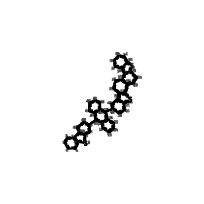 c1ccc2c(c1)sc1cc(-c3c4ccccc4c(-c4ccc5sc6c(ccc7c6ccc6sc8ccccc8c67)c5c4)c4ccccc34)ccc12